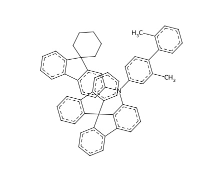 Cc1ccccc1-c1ccc(N(c2ccc3c(c2)C2(CCCCC2)c2ccccc2-3)c2cccc3c2C2(c4ccccc4-c4ccccc42)c2ccccc2-3)cc1C